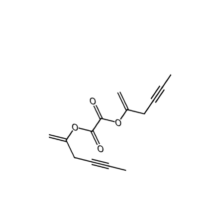 C=C(CC#CC)OC(=O)C(=O)OC(=C)CC#CC